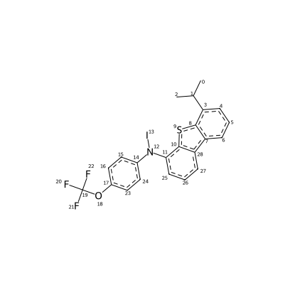 CC(C)c1cccc2c1sc1c(N(I)c3ccc(OC(F)(F)F)cc3)cccc12